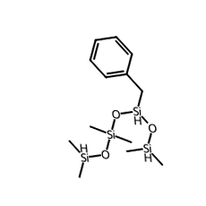 C[SiH](C)O[SiH](Cc1ccccc1)O[Si](C)(C)O[SiH](C)C